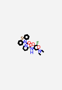 CCN(CC)C(=O)CC(NC(=O)[C@@H]1CCCCN1C(=O)N1c2ccccc2Sc2ccccc21)C(=O)CF